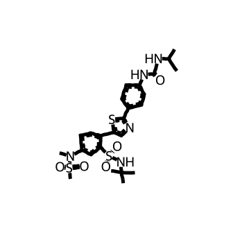 CC(C)NC(=O)Nc1ccc(-c2ncc(-c3ccc(N(C)S(C)(=O)=O)cc3S(=O)(=O)NC(C)(C)C)s2)cc1